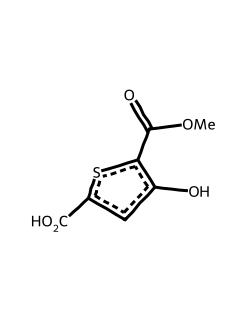 COC(=O)c1sc(C(=O)O)cc1O